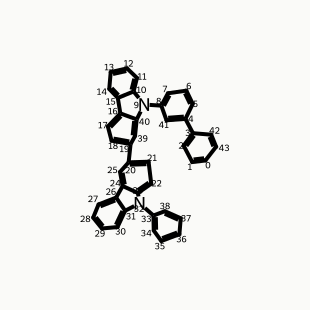 c1ccc(-c2cccc(-n3c4ccccc4c4ccc(-c5ccc6c(c5)c5ccccc5n6-c5ccccc5)cc43)c2)cc1